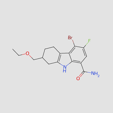 CCOCC1CCc2c([nH]c3c(C(N)=O)cc(F)c(Br)c23)C1